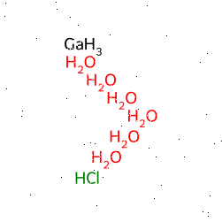 Cl.O.O.O.O.O.O.[GaH3]